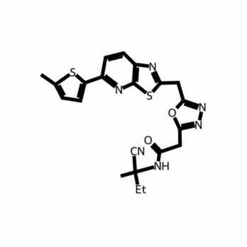 CCC(C)(C#N)NC(=O)Cc1nnc(Cc2nc3ccc(-c4ccc(C)s4)nc3s2)o1